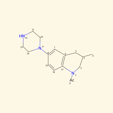 CC(=O)N1CC(C)Cc2cc(N3CCNCC3)ccc21